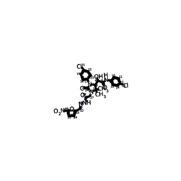 CC1(C)C(C(O)C(=O)Nc2ccc(Cl)cc2)N(c2ccc(Cl)cc2)C(=O)N1CC(=O)N/N=C/c1ccc([N+](=O)[O-])o1